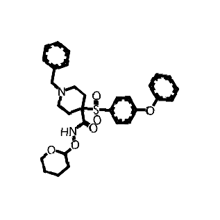 O=C(NOC1CCCCO1)C1(S(=O)(=O)c2ccc(Oc3ccccc3)cc2)CCN(Cc2ccccc2)CC1